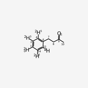 [2H]c1c([2H])c([2H])c(CCC(C)=O)c([2H])c1[2H]